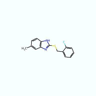 Cc1ccc2[nH]c(SCc3ccccc3F)nc2c1